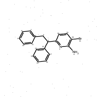 Nc1nc(C(Cc2ccccc2)c2ccccc2)ccc1Br